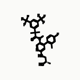 Cc1cc(F)ccc1-c1cc(NC[C@H](C)O)ncc1N(C)C(=O)C(C)(C)c1cc(C(F)(F)F)cc(C(F)(F)F)c1